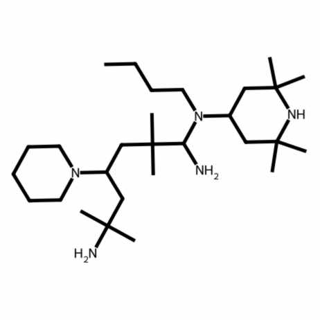 CCCCN(C1CC(C)(C)NC(C)(C)C1)C(N)C(C)(C)CC(CC(C)(C)N)N1CCCCC1